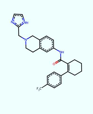 O=C(Nc1ccc2c(c1)CCN(Cc1ncc[nH]1)C2)C1=C(c2ccc(C(F)(F)F)cc2)CCCC1